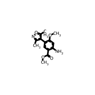 COC(=O)c1cc(-c2c(C)noc2C)c(OC)cc1N